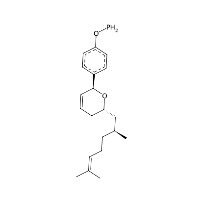 CC(C)=CCC[C@H](C)C[C@@H]1CC=C[C@@H](c2ccc(OP)cc2)O1